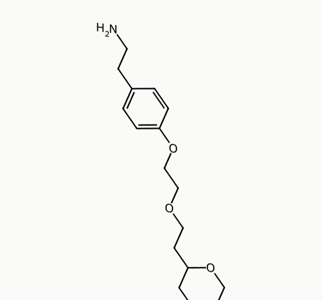 NCCc1ccc(OCCOCCC2CNCCO2)cc1